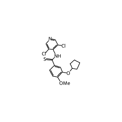 COc1ccc(C(=S)Nc2c(Cl)cncc2Cl)cc1OC1CCCC1